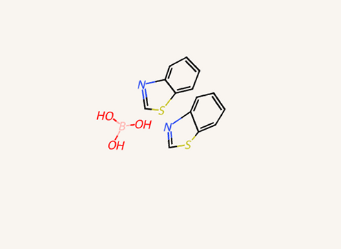 OB(O)O.c1ccc2scnc2c1.c1ccc2scnc2c1